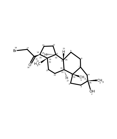 C[C@@]1(O)CC[C@@]2(C)C(CC[C@H]3[C@@H]4CC[C@H](C(=O)CBr)[C@@]4(C)CC[C@@H]32)C1